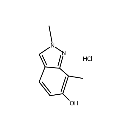 Cc1c(O)ccc2cn(C)nc12.Cl